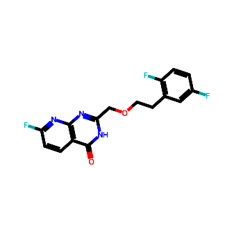 O=c1[nH]c(COCCc2cc(F)ccc2F)nc2nc(F)ccc12